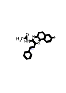 CC(=O)Nc1nc2c(nc1/C=C/c1ccccc1)-c1ccc(F)cc1CC2